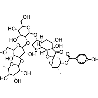 C[C@@H]1CO[C@@]2(C[C@@H]1OC(=O)c1ccc(O)cc1)O[C@@H]1[C@H]3SC[C@H](O[C@@H]4O[C@H](CO)[C@@H](O)[C@H](O)[C@H]4O[C@@H]4O[C@H](CO)[C@@H](O)[C@H](O[C@@H]5O[C@@H](C)[C@H](O)[C@@H](O)[C@H]5O)[C@H]4O)[C@H]3C[C@H](O)[C@]1(O)C2=O